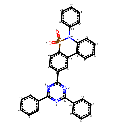 O=S1(=O)c2ccc(-c3nc(-c4ccccc4)nc(-c4ccccc4)n3)cc2-c2ccccc2N1c1ccccc1